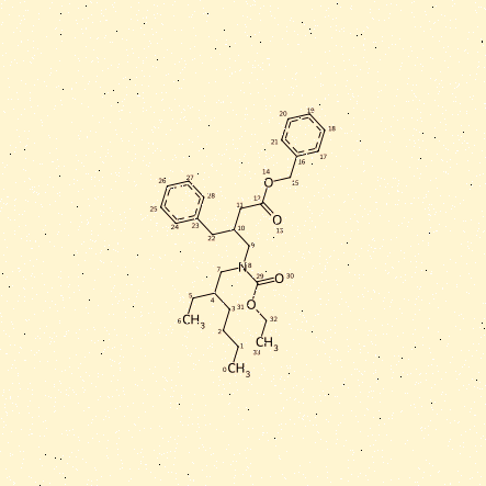 CCCCC(CC)CN(CC(CC(=O)OCc1ccccc1)Cc1ccccc1)C(=O)OCC